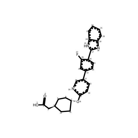 O=C(O)C[C@H]1CC[C@H](Oc2ccc(-c3ccc(-c4nc5ccccc5[nH]4)c(F)c3)cn2)CC1